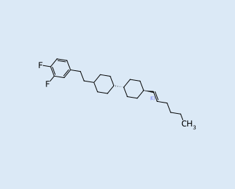 CCCC/C=C/[C@H]1CC[C@H](C2CCC(CCc3ccc(F)c(F)c3)CC2)CC1